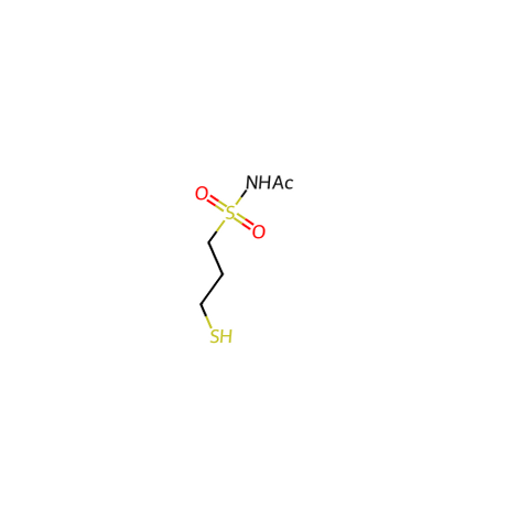 CC(=O)NS(=O)(=O)CCCS